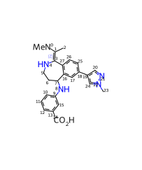 CN/C(C)=C1\NCCC(Nc2cccc(C(=O)O)c2)c2cc(-c3cnn(C)c3)ccc21